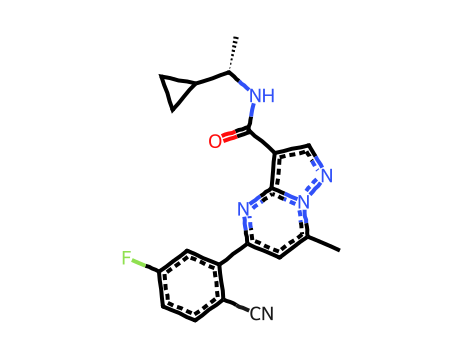 Cc1cc(-c2cc(F)ccc2C#N)nc2c(C(=O)N[C@@H](C)C3CC3)cnn12